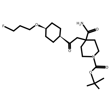 CC(C)(C)OC(=O)N1CCC(CC(=O)[C@H]2CC[C@@H](OCCCF)CC2)(C(N)=O)CC1